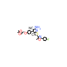 Cc1oc(-c2ccc(F)cc2)nc1CSc1nc(N)c(C#N)c(-c2ccc(OC[C@H]3COC(C)(C)O3)cc2)c1C#N